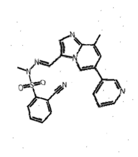 Cc1cc(-c2cccnc2)cn2c(C=NN(C)S(=O)(=O)c3ccccc3C#N)cnc12